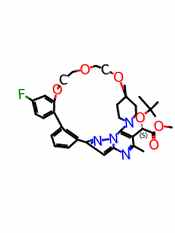 COC(=O)[C@@H](OC(C)(C)C)c1c(C)nc2cc3nn2c1N1CCC(C)(CC1)OCCOCCOc1cc(F)ccc1-c1cccc-3c1